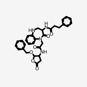 O=C(CCc1ccccc1)NC1CNc2ccccc2N(CC(=O)NC2CC(=O)OC2OCc2ccccc2)C1=O